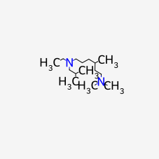 CCN(CCCC(C)CCN(C)C)CC(C)C